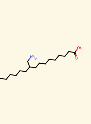 CCCCCCCC(CN)CCCCCCCCC(=O)O